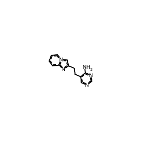 Nc1ncncc1CCc1cn2ccccc2n1